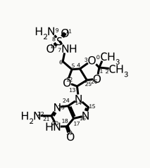 CC1(C)OC2C(CNS(N)(=O)=O)OC(n3cnc4c(=O)[nH]c(N)nc43)C2O1